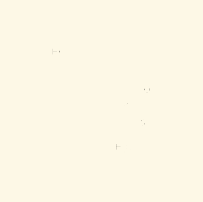 C#CC1C=CP(=O)(SC)C1